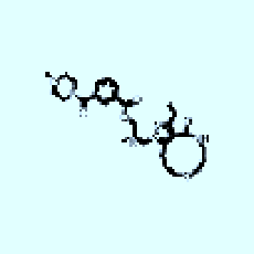 CCc1nn(C[C@@H](C)COC(=O)c2cccc(C(=O)N3CCN(C)CC3)c2)c2c1C(=O)NCCCOCCC2